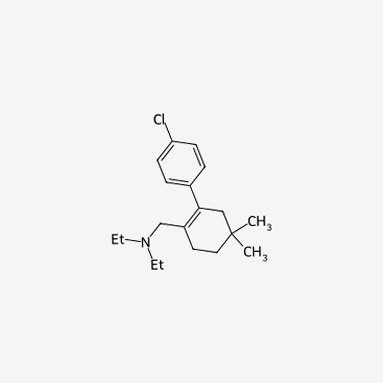 CCN(CC)CC1=C(c2ccc(Cl)cc2)CC(C)(C)CC1